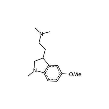 COc1ccc2c(c1)C(CCN(C)C)CN2C